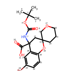 CC(C)(C)OC(=O)NC1(C(=O)O)CC2(CCCOC2)Oc2ccc(Br)cc21